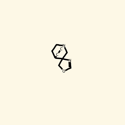 C1=NC2(CO1)CN1CCC2CC1